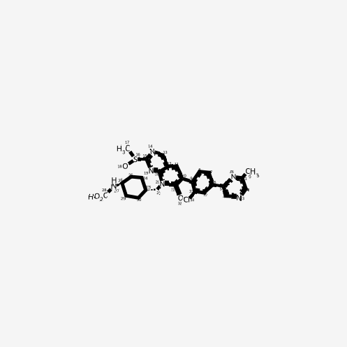 Cc1cncc(-c2ccc(-c3cc4cnc([S+](C)[O-])nc4n(C[C@H]4CC[C@H](NC(=O)O)CC4)c3=O)c(Cl)c2)n1